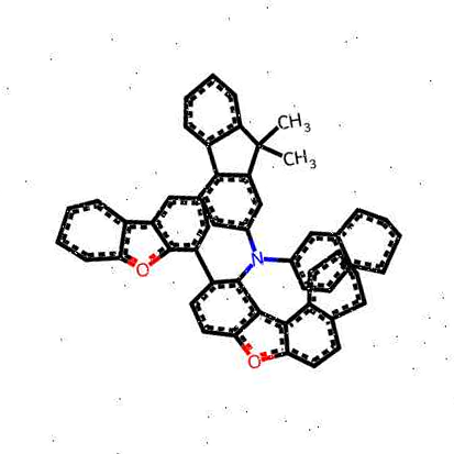 CC1(C)c2ccccc2-c2ccc(N(c3ccc4ccccc4c3)c3c(-c4cccc5c4oc4ccccc45)ccc4oc5ccc6ccccc6c5c34)cc21